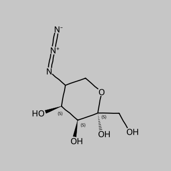 [N-]=[N+]=NC1CO[C@@](O)(CO)[C@@H](O)[C@H]1O